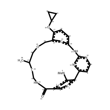 CNc1cc2ccc1-c1ccnc(n1)Nc1ccc(OC3CC3)c(c1)COCC(C)CCNC2=O